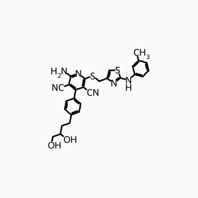 Cc1cccc(Nc2nc(CSc3nc(N)c(C#N)c(-c4ccc(CCC(O)CO)cc4)c3C#N)cs2)c1